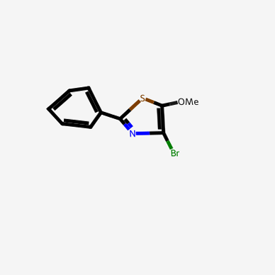 COc1sc(-c2ccccc2)nc1Br